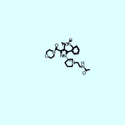 CCc1c(C(=O)N2CCOCC2)nn([C@H]2CCCN(CCNC(C)=O)C2)c1-c1ccccc1S(=O)O